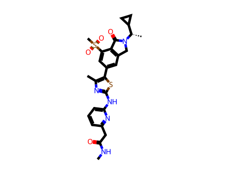 CNC(=O)Cc1cccc(Nc2nc(C)c(-c3cc4c(c(S(C)(=O)=O)c3)C(=O)N([C@@H](C)C3CC3)C4)s2)n1